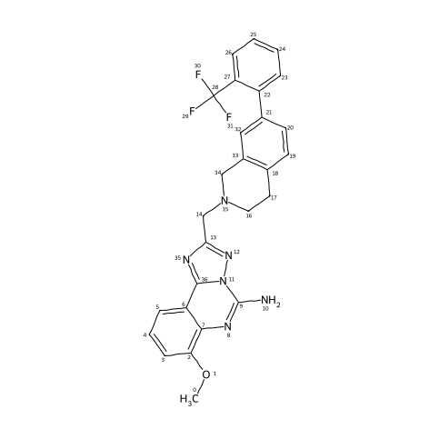 COc1cccc2c1nc(N)n1nc(CN3CCc4ccc(-c5ccccc5C(F)(F)F)cc4C3)nc21